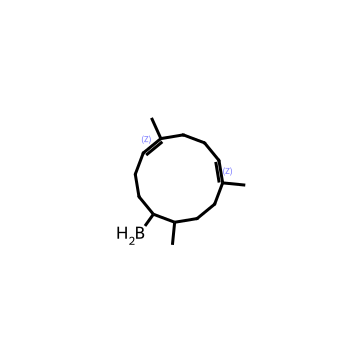 BC1CC/C=C(/C)CC/C=C(/C)CCC1C